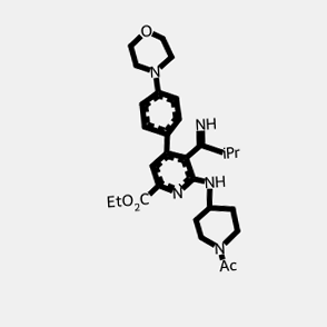 CCOC(=O)c1cc(-c2ccc(N3CCOCC3)cc2)c(C(=N)C(C)C)c(NC2CCN(C(C)=O)CC2)n1